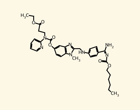 CCCCCCOC(=O)/N=C(/N)c1ccc(NCc2nc3cc(OC(=O)N(CCC(=O)OCC)c4ccccn4)ccc3n2C)cc1